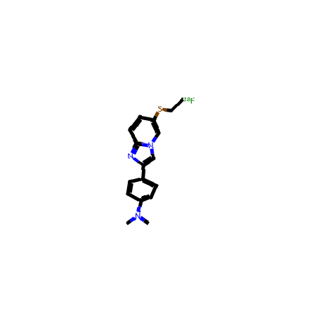 CN(C)c1ccc(-c2cn3cc(SCC[18F])ccc3n2)cc1